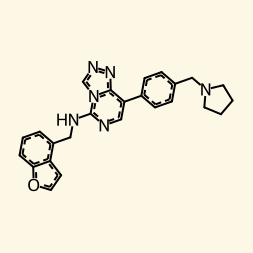 c1cc(CNc2ncc(-c3ccc(CN4CCCC4)cc3)c3nncn23)c2ccoc2c1